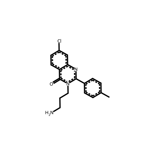 Cc1ccc(-c2nc3cc(Cl)ccc3c(=O)n2CCCN)cc1